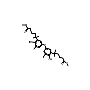 COC(=O)CCCC(C)(C)c1cc(Oc2cc(C)c(O)c(C(C)(C)CCCC(=O)OC)c2)cc(C)c1O